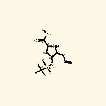 C=CCC1NC(C(=O)OC)CC1O[Si](C)(C)C(C)(C)C